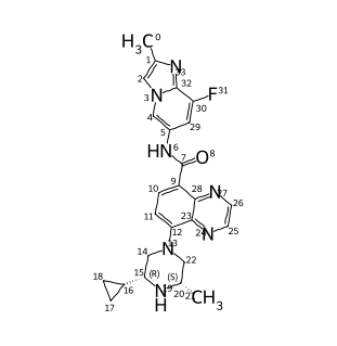 Cc1cn2cc(NC(=O)c3ccc(N4C[C@@H](C5CC5)N[C@@H](C)C4)c4nccnc34)cc(F)c2n1